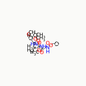 COC(=O)[C@@H](CCNC(=O)OCc1ccccc1)N[C@@H](CC(C)C)C(=O)N[C@@H](Cc1ccc(OC)cc1)C(=O)OC(C)(C)C